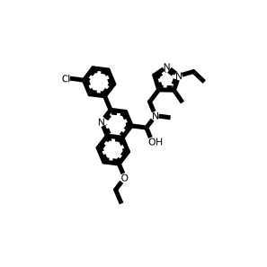 CCOc1ccc2nc(-c3cccc(Cl)c3)cc(C(O)N(C)Cc3cnn(CC)c3C)c2c1